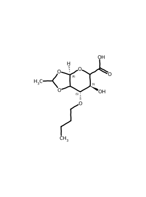 CCCCO[C@@H]1C2OC(C)O[C@H]2OC(C(=O)O)[C@H]1O